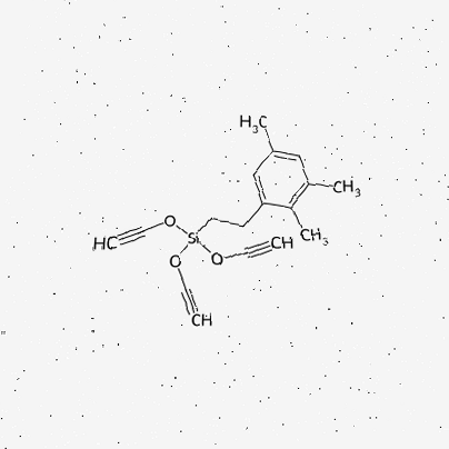 C#CO[Si](CCc1cc(C)cc(C)c1C)(OC#C)OC#C